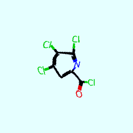 O=C(Cl)c1cc(Cl)c(Cl)c(Cl)n1